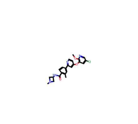 COc1ncc(Cl)cc1Oc1ccnc(-c2ccc(C(=O)NC3CN(C)C3)c(C)c2)c1